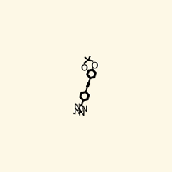 Cn1nnc(-c2ccc(C#Cc3ccc4c(c3)OCC(C)(C)CO4)cc2)n1